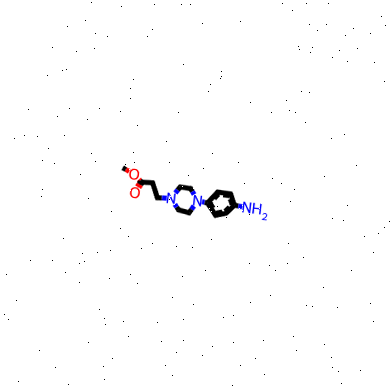 COC(=O)CCN1CCN(c2ccc(N)cc2)CC1